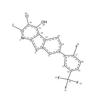 Cc1nc2sc3cc(-c4cc(C(F)(F)F)ccc4F)ccc3c2c(O)c1Cl